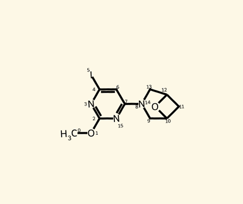 COc1nc(I)cc(N2CC3CC(C2)O3)n1